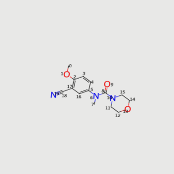 COc1ccc(N(C)C(=O)N2CCOCC2)cc1C#N